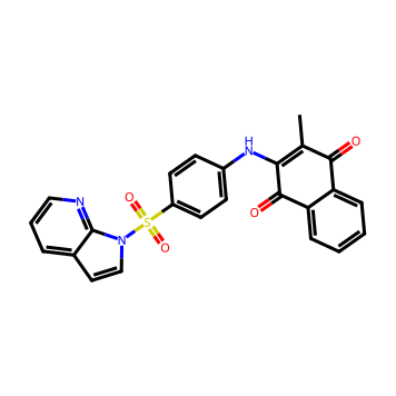 CC1=C(Nc2ccc(S(=O)(=O)n3ccc4cccnc43)cc2)C(=O)c2ccccc2C1=O